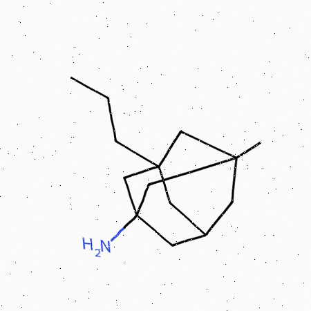 CCCC12CC3CC(C)(CC(N)(C3)C1)C2